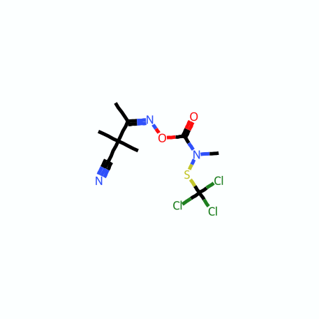 CC(=NOC(=O)N(C)SC(Cl)(Cl)Cl)C(C)(C)C#N